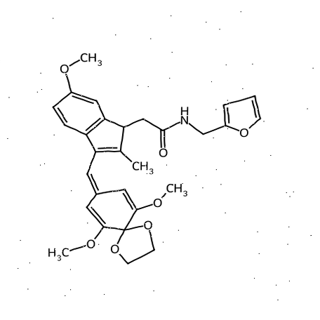 COC1=CC(=CC2=C(C)C(CC(=O)NCc3ccco3)c3cc(OC)ccc32)C=C(OC)C12OCCO2